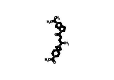 CC(=O)N1CCC2(CC1)CN(C(C)CCC(=O)N1CCC3CN(C(C)C)CC31)C2